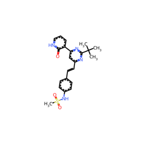 CC(C)(C)c1nc(C=Cc2ccc(NS(C)(=O)=O)cc2)cc(-c2ccc[nH]c2=O)n1